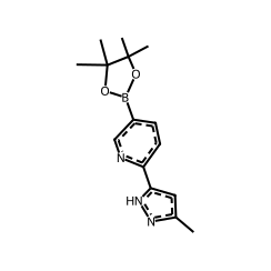 Cc1cc(-c2ccc(B3OC(C)(C)C(C)(C)O3)cn2)[nH]n1